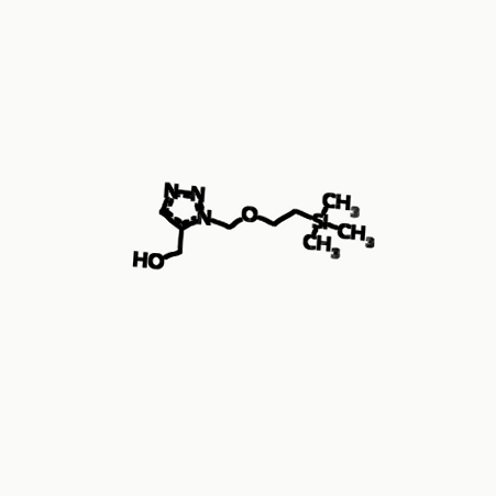 C[Si](C)(C)CCOCn1nncc1CO